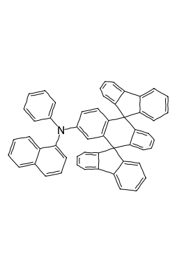 c1ccc(N(c2ccc3c(c2)C2(c4ccccc4-c4ccccc42)c2ccccc2C32c3ccccc3-c3ccccc32)c2cccc3ccccc23)cc1